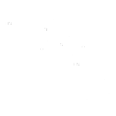 O=C(CN1CCCN(C2CCNCC2)C1=O)NCc1ccccc1